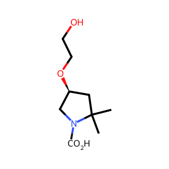 CC1(C)C[C@H](OCCO)CN1C(=O)O